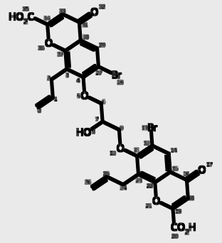 C=CCc1c(OCC(O)COc2c(Br)cc3c(=O)cc(C(=O)O)oc3c2CC=C)c(Br)cc2c(=O)cc(C(=O)O)oc12